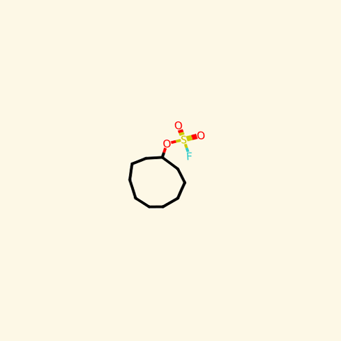 O=S(=O)(F)OC1CCCCCCCCC1